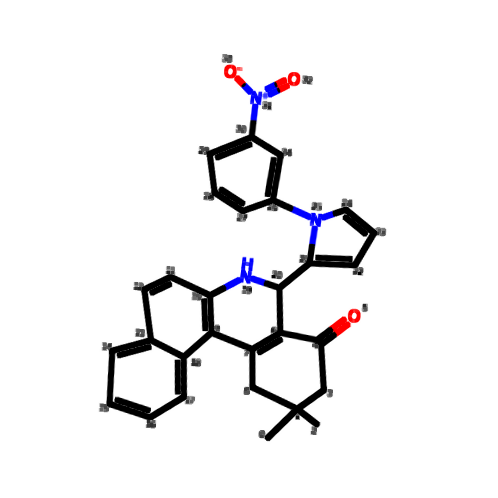 CC1(C)CC(=O)C2=C(C1)c1c(ccc3ccccc13)NC2c1cccn1-c1cccc([N+](=O)[O-])c1